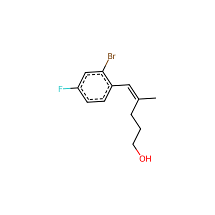 CC(=Cc1ccc(F)cc1Br)CCCO